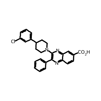 O=C(O)c1ccc2nc(-c3ccccc3)c(N3CCC(c4cccc(Cl)c4)CC3)nc2c1